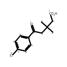 CC(C)(CC(=O)O)CC(=O)c1ccc(Cl)cc1